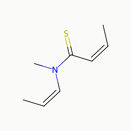 C/C=C\C(=S)N(C)/C=C\C